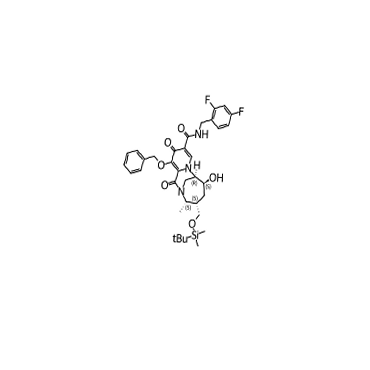 C[C@H]1[C@@H](CO[Si](C)(C)C(C)(C)C)C[C@H](O)[C@H]2CN1C(=O)c1c(OCc3ccccc3)c(=O)c(C(=O)NCc3ccc(F)cc3F)cn12